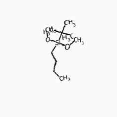 CCCC[Si](OC)(OC)C(C)(C)C